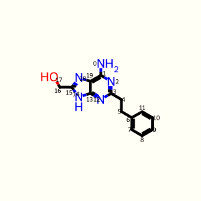 Nc1nc(CCc2ccccc2)nc2[nH]c(CO)nc12